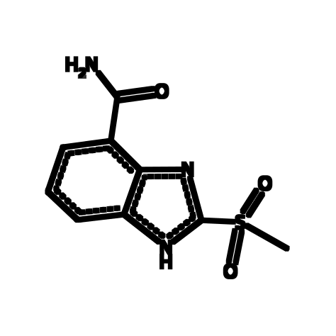 CS(=O)(=O)c1nc2c(C(N)=O)cccc2[nH]1